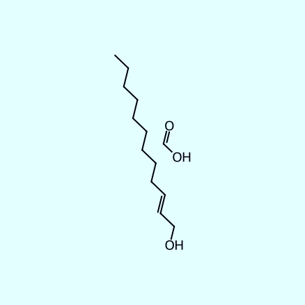 CCCCCCCCCC=CCO.O=CO